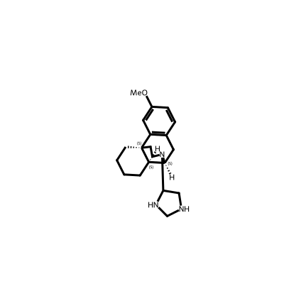 COc1ccc2c(c1)[C@]13CCCC[C@@H]1[C@H](C2)N(C1CNCN1)CC3